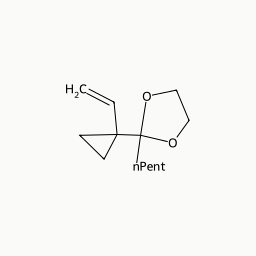 C=CC1(C2(CCCCC)OCCO2)CC1